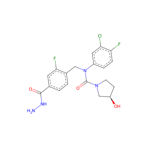 NNC(=O)c1ccc(CN(C(=O)N2CC[C@@H](O)C2)c2ccc(F)c(Cl)c2)c(F)c1